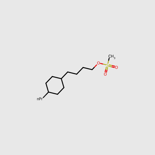 CCCC1CCC(CCCCOS(C)(=O)=O)CC1